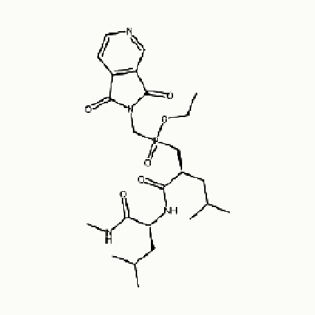 CCOP(=O)(C[C@@H](CC(C)C)C(=O)N[C@@H](CC(C)C)C(=O)NC)CN1C(=O)c2ccncc2C1=O